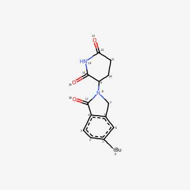 CC(C)(C)c1ccc2c(c1)CN(C1CCC(=O)NC1=O)C2=O